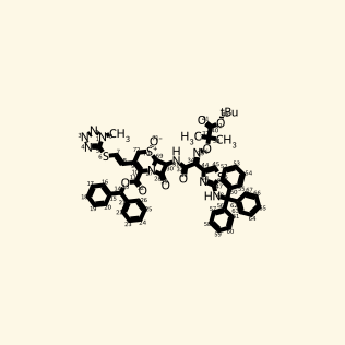 Cn1nnnc1SC=CC1=C(C(=O)OC(c2ccccc2)c2ccccc2)N2C(=O)C(NC(=O)C(=NOC(C)(C)C(=O)OC(C)(C)C)c3csc(NC(c4ccccc4)(c4ccccc4)c4ccccc4)n3)C2[S+]([O-])C1